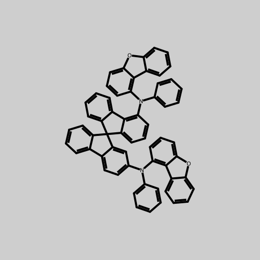 c1ccc(N(c2ccc3c(c2)C2(c4ccccc4-3)c3ccccc3-c3c(N(c4ccccc4)c4cccc5oc6ccccc6c45)cccc32)c2cccc3oc4ccccc4c23)cc1